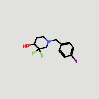 OC1CCN(Cc2ccc(I)cc2)CC1(F)F